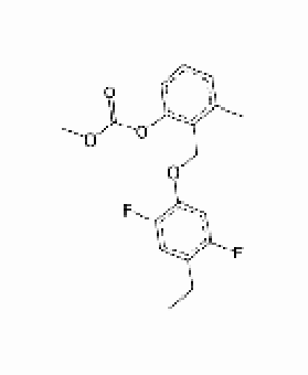 CCc1cc(F)c(OCc2c(C)cccc2OC(=O)OC)cc1F